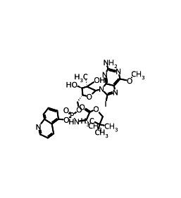 COc1nc(N)nc2c1nc(I)n2C1O[C@H](COP(=O)(N[C@@H](C)C(=O)OCC(C)(C)C)Oc2cccc3ncccc23)[C@@H](O)[C@@]1(C)O